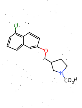 O=C(O)N1CCC(COc2ccc3c(Cl)cccc3c2)C1